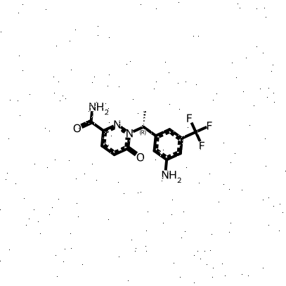 C[C@H](c1cc(N)cc(C(F)(F)F)c1)n1nc(C(N)=O)ccc1=O